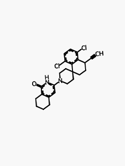 C#CC1CCC2(CCN(c3cc4c(c(=O)[nH]3)CCCC4)CC2)c2c(Cl)ccc(Cl)c21